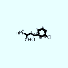 CCCC([CH]Cc1cccc(Cl)c1)C=O